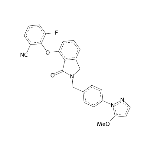 COc1ccnn1-c1ccc(CN2Cc3cccc(Oc4c(F)cccc4C#N)c3C2=O)cc1